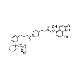 O=C(CCCc1cccc(C2(C(=O)O)CCCCC2C2CN3CCC2CC3)c1)N1CCC(CCNC[C@H](O)c2ccc(O)c3[nH]c(=O)ccc23)CC1